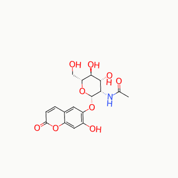 CC(=O)N[C@@H]1[C@H](Oc2cc3ccc(=O)oc3cc2O)O[C@H](CO)[C@@H](O)[C@@H]1O